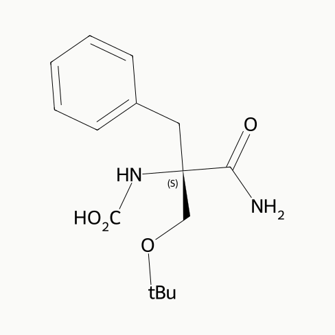 CC(C)(C)OC[C@](Cc1ccccc1)(NC(=O)O)C(N)=O